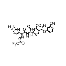 N#Cc1cccc(OCC2=C(C(=O)O)N3C(=O)C(NC(=O)C(=NOC(=O)C(F)(F)F)c4csc(N)n4)[C@@H]3SC2)c1